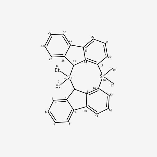 C[CH2][Zr]1([CH2]C)[CH]2c3ccccc3-c3cccc(c32)[Si](C)(C)c2cccc3c2[CH]1c1ccccc1-3